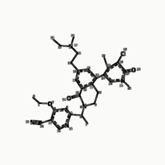 CCOc1cc(C(C)N2CCc3c(cc(CCN(C)CC)cc3-c3cn(C)c(=O)c(Cl)c3C)C2=O)ncc1C#N